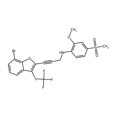 COc1cc(S(C)(=O)=O)ccc1NCC#Cc1sc2c(Br)cccc2c1SC(F)(F)F